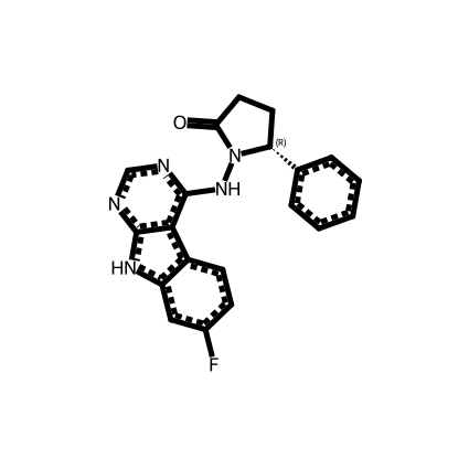 O=C1CC[C@H](c2ccccc2)N1Nc1ncnc2[nH]c3cc(F)ccc3c12